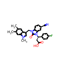 Cc1cc2c(Cn3c(=O)n([C@H](CC(=O)O)c4ccc(F)cc4)c4cc(C#N)ccc43)cn(C)c2cc1C